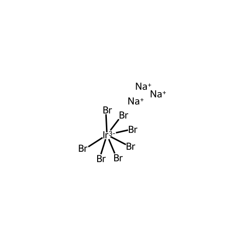 [Br][Ir-3]([Br])([Br])([Br])([Br])([Br])[Br].[Na+].[Na+].[Na+]